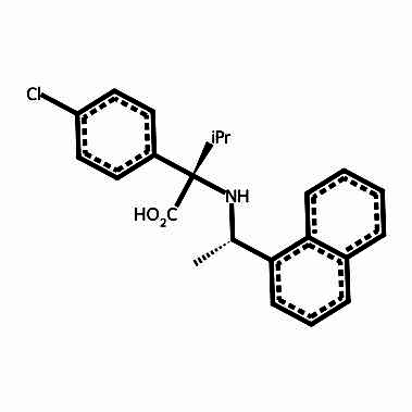 CC(C)[C@@](N[C@@H](C)c1cccc2ccccc12)(C(=O)O)c1ccc(Cl)cc1